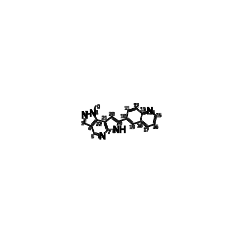 Cn1ncc2cnc3[nH]c(-c4ccc5ncccc5c4)cc3c21